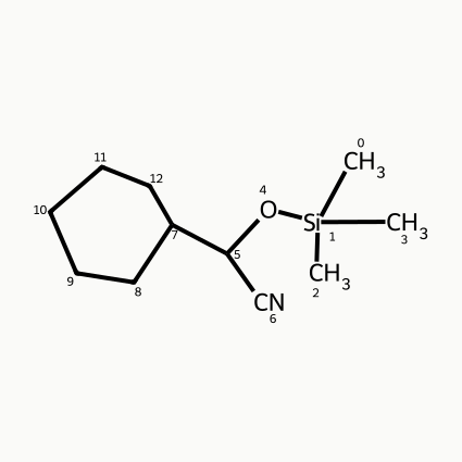 C[Si](C)(C)OC(C#N)C1CCCCC1